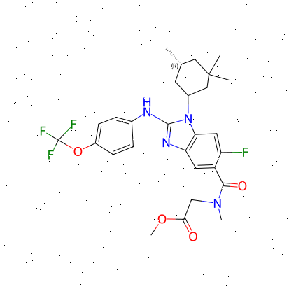 COC(=O)CN(C)C(=O)c1cc2nc(Nc3ccc(OC(F)(F)F)cc3)n(C3C[C@H](C)CC(C)(C)C3)c2cc1F